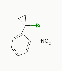 O=[N+]([O-])c1ccccc1C1(Br)CC1